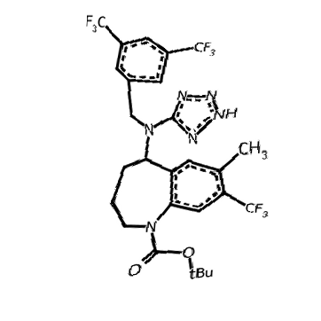 Cc1cc2c(cc1C(F)(F)F)N(C(=O)OC(C)(C)C)CCCC2N(Cc1cc(C(F)(F)F)cc(C(F)(F)F)c1)c1nn[nH]n1